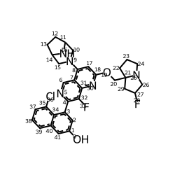 Oc1cc(-c2ncc3c(N4CC5CCC(C4)N5)cc(OCC45CCCN4CC(F)C5)nc3c2F)c2c(Cl)cccc2c1